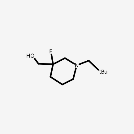 CC(C)(C)CN1CCCC(F)(CO)C1